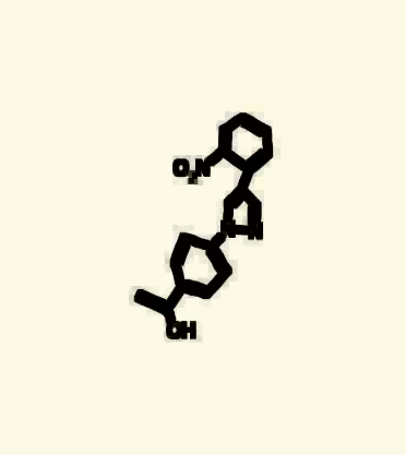 C=C(O)c1ccc(-n2cc(-c3ccccc3[N+](=O)[O-])cn2)cc1